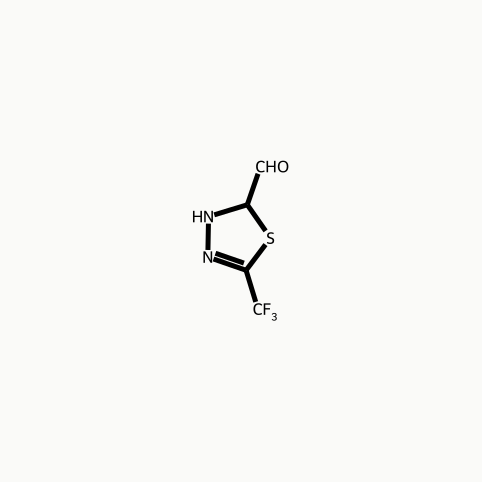 O=CC1NN=C(C(F)(F)F)S1